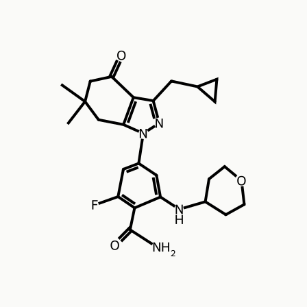 CC1(C)CC(=O)c2c(CC3CC3)nn(-c3cc(F)c(C(N)=O)c(NC4CCOCC4)c3)c2C1